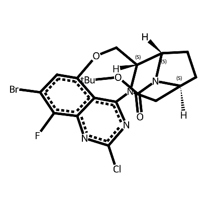 CC(C)(C)OC(=O)N1[C@H]2CC[C@H]1[C@H]1COc3cc(Br)c(F)c4nc(Cl)nc(c34)N1C2